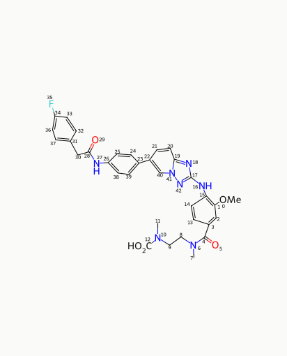 COc1cc(C(=O)N(C)CCN(C)C(=O)O)ccc1Nc1nc2ccc(-c3ccc(NC(=O)Cc4ccc(F)cc4)cc3)cn2n1